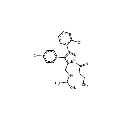 CCOC(=O)[14c]1nn(-c2ccccc2Cl)c(-c2ccc(Cl)cc2)c1CNC(C)C